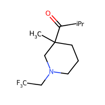 CC(C)C(=O)C1(C)CCCN(CC(F)(F)F)C1